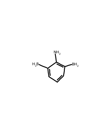 Bc1cccc(B)c1N